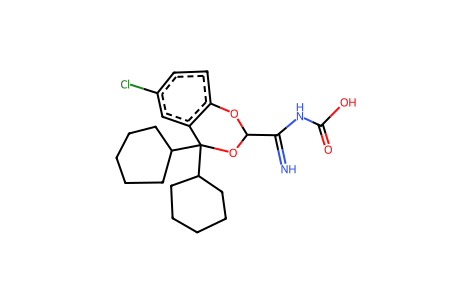 N=C(NC(=O)O)C1Oc2ccc(Cl)cc2C(C2CCCCC2)(C2CCCCC2)O1